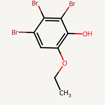 CCOc1cc(Br)c(Br)c(Br)c1O